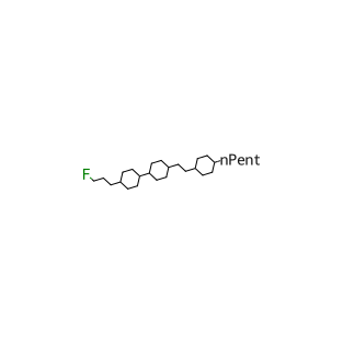 CCCCCC1CCC(CCC2CCC(C3CCC(CCCF)CC3)CC2)CC1